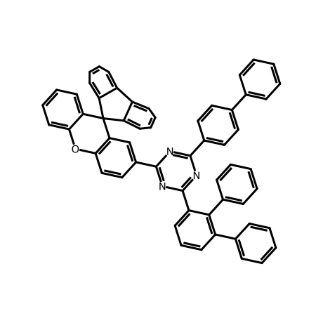 c1ccc(-c2ccc(-c3nc(-c4ccc5c(c4)C4(c6ccccc6O5)c5ccccc5-c5ccccc54)nc(-c4cccc(-c5ccccc5)c4-c4ccccc4)n3)cc2)cc1